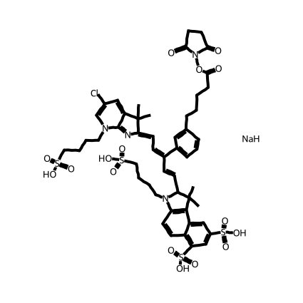 CC1(C)C(=CC=C(C=CC2N(CCCCS(=O)(=O)O)c3ccc4c(S(=O)(=O)O)cc(S(=O)(=O)O)cc4c3C2(C)C)c2cccc(CCCCC(=O)ON3C(=O)CCC3=O)c2)N=C2C1=CC(Cl)=CN2CCCCS(=O)(=O)O.[NaH]